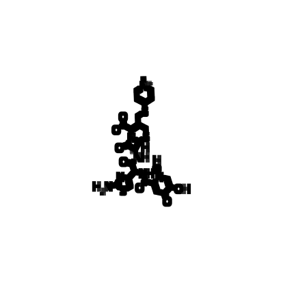 C[n+]1ccc(SCC2=C(C(=O)[O-])N3C(=O)[C@@H](NC(=O)C(NC(=O)c4cc(=O)c(O)cn4O)c4csc(N)n4)[C@H]3SC2)cc1